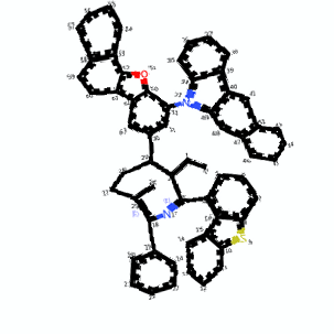 CCC1/C(c2cccc3sc4ccccc4c23)=N\C(c2ccccc2)=C(/C)CCC1c1cc(-n2c3ccccc3c3cc4ccccc4cc32)c2oc3c4ccccc4ccc3c2c1